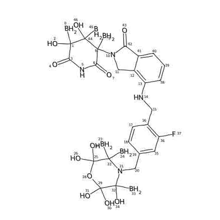 BC1(O)C(=O)NC(=O)C(B)(N2Cc3c(NCc4ccc(CN5C(B)(B)C(O)(O)OC(O)(O)C5(B)O)cc4F)cccc3C2=O)C1(B)O